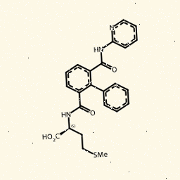 CSCC[C@H](NC(=O)c1cccc(C(=O)Nc2ccccn2)c1-c1ccccc1)C(=O)O